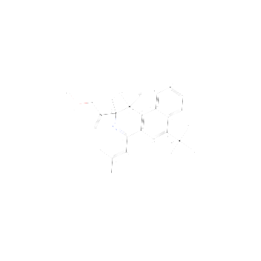 C=C(COC)C1(C)N=C(C=C(C)C)c2cc(C(C)(C)C)c3ccccc3c2C1(C)C